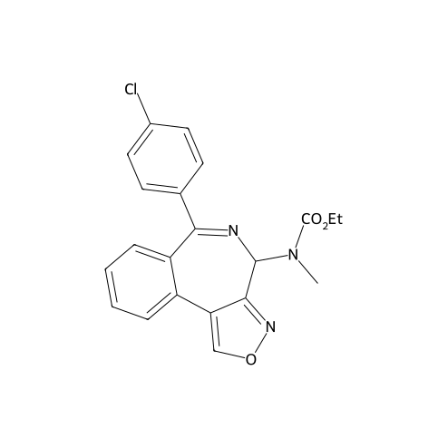 CCOC(=O)N(C)C1N=C(c2ccc(Cl)cc2)c2ccccc2-c2conc21